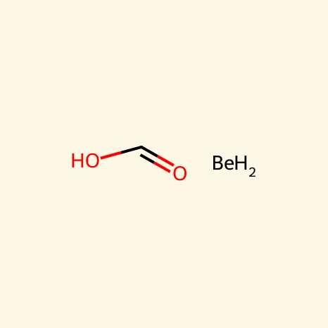 O=CO.[BeH2]